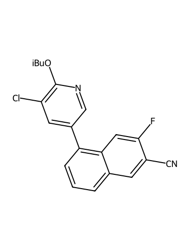 CC(C)COc1ncc(-c2cccc3cc(C#N)c(F)cc23)cc1Cl